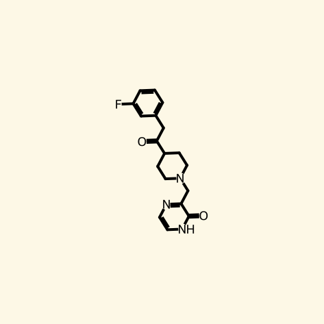 O=C(Cc1cccc(F)c1)C1CCN(Cc2ncc[nH]c2=O)CC1